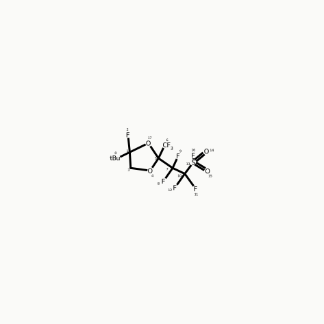 CC(C)(C)C1(F)COC(C(F)(F)F)(C(F)(F)C(F)(F)S(=O)(=O)F)O1